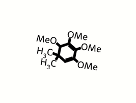 COC1=CC(C)(C)C(OC)C(OC)=C1OC